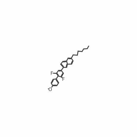 CCCCCCCc1ccc2cc(-c3cc(F)c(-c4ccc(OC)cc4)c(F)c3)ccc2c1